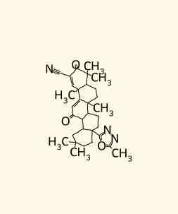 Cc1nnc(C23CCC4C(C(=O)C=C5C6(C)C=C(C#N)C(=O)C(C)(C)C6CCC54C)C2CC(C)(C)CC3)o1